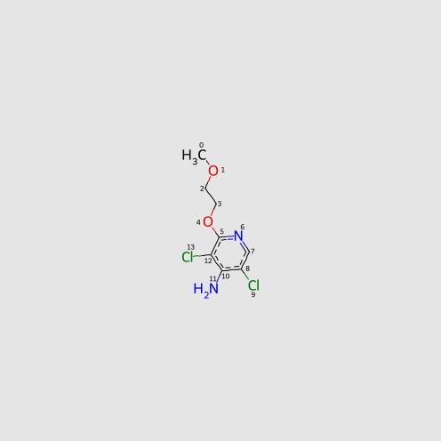 COCCOc1ncc(Cl)c(N)c1Cl